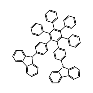 c1ccc(-c2c(-c3ccccc3)c(-c3ccccc3)c(-c3ccc(-n4c5ccccc5c5ccccc54)cc3)c(-c3ccc(-n4c5ccccc5c5ccccc54)cc3)c2-c2ccccc2)cc1